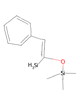 C[Si](C)(C)OC([SiH3])=Cc1ccccc1